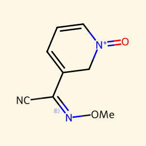 CO/N=C(/C#N)C1=CC=C[N+](=O)C1